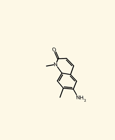 Cc1cc2c(ccc(=O)n2C)cc1N